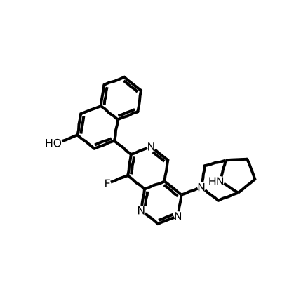 Oc1cc(-c2ncc3c(N4CC5CCC(C4)N5)ncnc3c2F)c2ccccc2c1